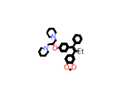 CCC(=C(c1ccccc1)c1ccc(OC(CN2CCCCC2)CN2CCCCC2)cc1)c1ccc2c(c1)OCO2